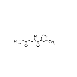 CCC(=O)CCNC(=O)c1cccc(C)c1